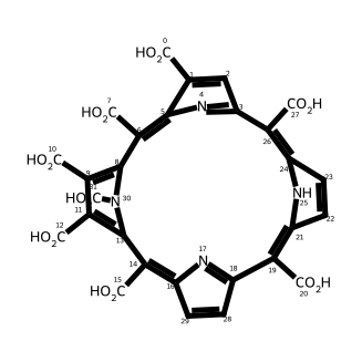 O=C(O)C1=Cc2nc1c(C(=O)O)c1c(C(=O)O)c(C(=O)O)c(c(C(=O)O)c3nc(c(C(=O)O)c4ccc([nH]4)c2C(=O)O)C=C3)n1C(=O)O